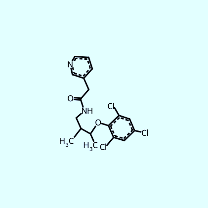 CC(CNC(=O)Cc1cccnc1)C(C)Oc1c(Cl)cc(Cl)cc1Cl